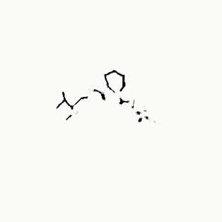 CNC(CONC(=O)[C@@H]1CCCCN1C(=O)NOS(=O)(=O)O)C(C)C